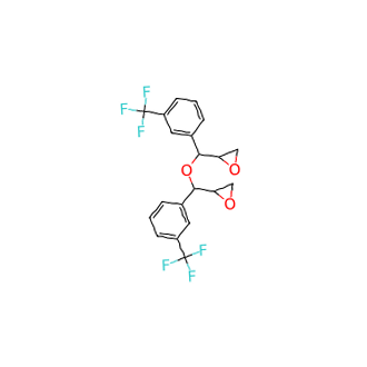 FC(F)(F)c1cccc(C(OC(c2cccc(C(F)(F)F)c2)C2CO2)C2CO2)c1